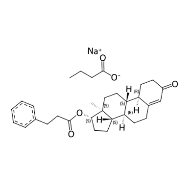 CCCC(=O)[O-].C[C@]12CC[C@H]3[C@@H](CCC4=CC(=O)CC[C@@H]43)[C@@H]1CC[C@@H]2OC(=O)CCc1ccccc1.[Na+]